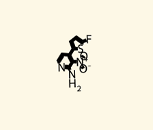 Nc1nccc(-c2ccc(F)s2)c1[N+](=O)[O-]